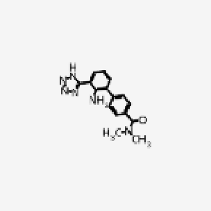 CN(C)C(=O)c1ccc(-c2cccc(-c3nnn[nH]3)c2N)cc1